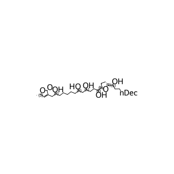 CCCCCCCCCCCC[C@H](O)[C@H]1CC[C@H]([C@H](O)CC[C@H](O)C[C@H](O)CCCCC[C@@H](O)CC2=C[C@H](C)OC2=O)O1